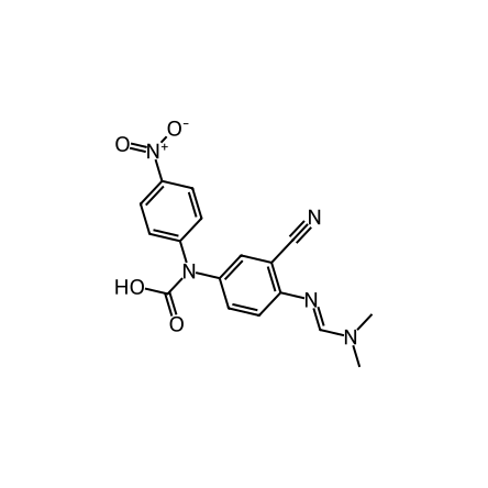 CN(C)C=Nc1ccc(N(C(=O)O)c2ccc([N+](=O)[O-])cc2)cc1C#N